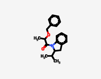 CC(OCc1ccccc1)C(=O)N1c2ccccc2CC1C(C)C